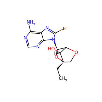 CC[C@@]12COC([C@H](n3c(Br)nc4c(N)ncnc43)O1)[C@H]2O